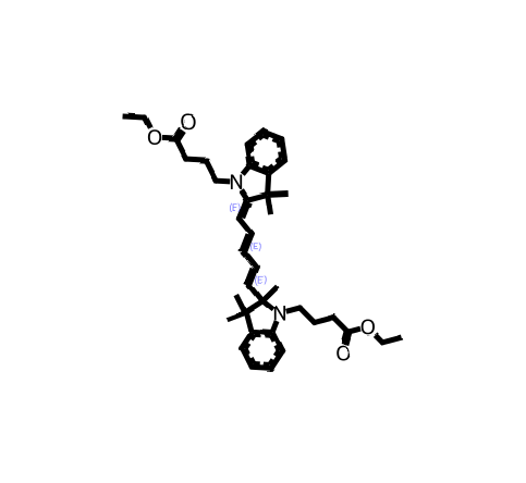 CCOC(=O)CCCN1/C(=C/C=C/C=C/C2(C)N(CCCC(=O)OCC)c3ccccc3C2(C)C)C(C)(C)c2ccccc21